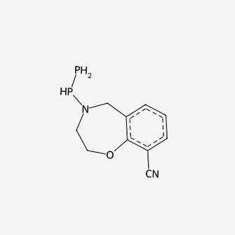 N#Cc1cccc2c1OCCN(PP)C2